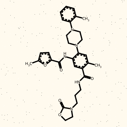 Cc1ccc(C(=O)Nc2cc(C(=O)NCCCN3CCOC3=O)c(C)cc2N2CCN(c3ccccc3C)CC2)o1